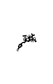 CCOC1=NC(C(C)C)C(OCC)=NC1CC(=O)CCc1ccc(OC)cc1